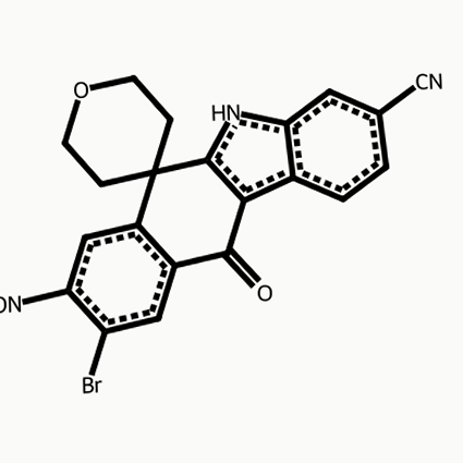 N#Cc1ccc2c3c([nH]c2c1)C1(CCOCC1)c1cc(N=O)c(Br)cc1C3=O